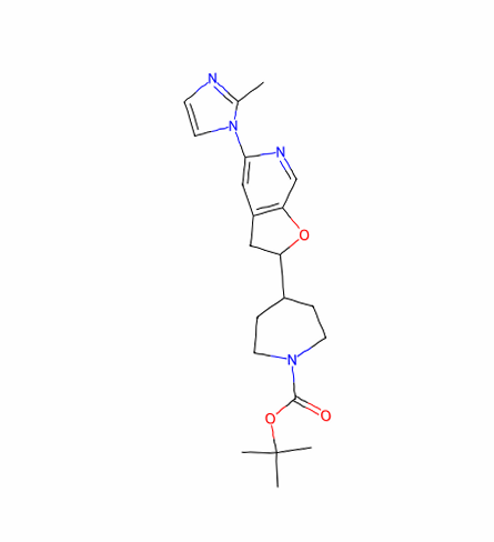 Cc1nccn1-c1cc2c(cn1)OC(C1CCN(C(=O)OC(C)(C)C)CC1)C2